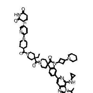 CCC1(C(=O)N2CCC3(CC2)C(=O)N(C2CC(N4CCCCC4)C2)c2cc(-c4cc5ncn(C(C)C)c5c(NC5CC5)n4)ccc23)CCN(C(=O)C2CCN(c3ccc([C@H]4CCC(=O)NC4=O)cn3)CC2)CC1